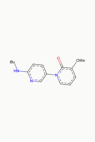 CCC(C)Nc1ccc(-n2cccc(OC)c2=O)cn1